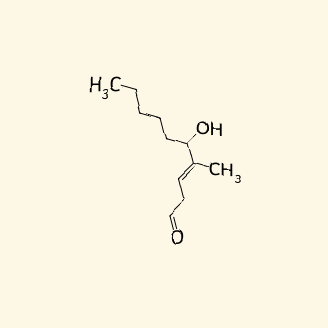 CCCCCC(O)C(C)=CCC=O